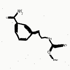 CC(C)(C)OC(=O)NCCc1cccc(C(N)=O)c1